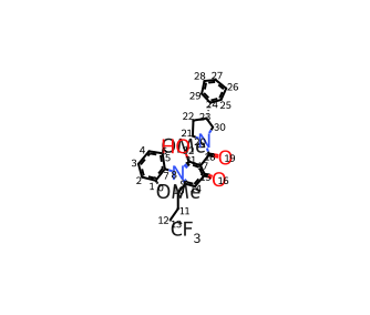 COc1cccc(OC)c1-n1c(CCCC(F)(F)F)cc(=O)c(C(=O)N2CC[C@H](c3ccccc3)C2)c1O